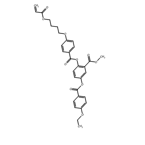 C=CC(=O)OCCCCOc1ccc(C(=O)Oc2ccc(OC(=O)c3ccc(OCC)cc3)cc2C(=O)OC)cc1